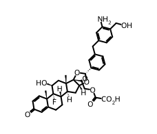 C[C@]12C=CC(=O)C=C1CC[C@H]1[C@@H]3C[C@H]4O[C@@H](c5cccc(Cc6ccc(CO)c(N)c6)c5)O[C@@]4(C(=O)COC(=O)C(=O)O)[C@@]3(C)C[C@H](O)[C@@]12F